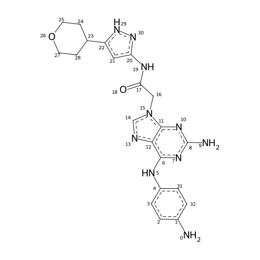 Nc1ccc(Nc2nc(N)nc3c2ncn3CC(=O)Nc2cc(C3CCOCC3)[nH]n2)cc1